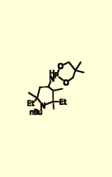 CCCCN1C(C)(CC)CC(NP2OCC(C)(C)CO2)C(C)C1(C)CC